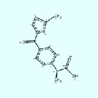 Cc1ccc(C(=O)c2ccc([C@H](C)C(=O)O)cc2)s1